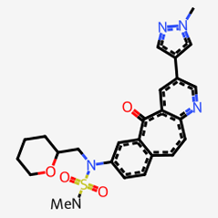 CNS(=O)(=O)N(CC1CCCCO1)c1ccc2ccc3ncc(-c4cnn(C)c4)cc3c(=O)c2c1